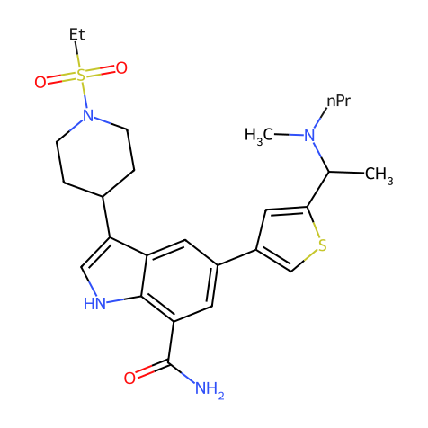 CCCN(C)C(C)c1cc(-c2cc(C(N)=O)c3[nH]cc(C4CCN(S(=O)(=O)CC)CC4)c3c2)cs1